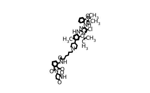 Cc1cc(Nc2ncc(Cl)c(Nc3ccccc3S(=O)(=O)C(C)C)n2)c(OC(C)C)cc1C1CCN(CCCCCC(=O)Nc2cccc3c2C(=O)N(C2CCC(=O)NC2=O)C3=O)CC1